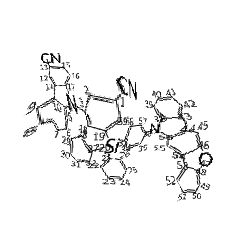 N#Cc1cc(-n2c3ccccc3c3cc(C#N)ccc32)cc([Si](c2ccccc2)(c2ccccc2)c2ccc(-n3c4ccccc4c4cc5oc6ccccc6c5cc43)cc2)c1